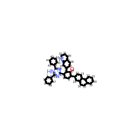 c1ccc(C2=NC(c3ccc(-c4ccc5c(ccc6ccccc65)c4)c4oc5cc6cccnc6cc5c34)=NC(c3ccccc3)N2)cc1